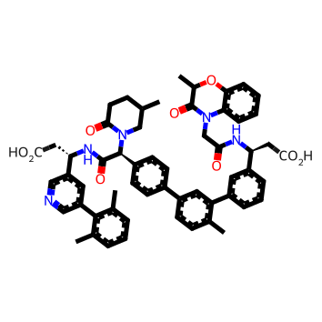 Cc1ccc(-c2ccc([C@@H](C(=O)N[C@@H](CC(=O)O)c3cncc(-c4c(C)cccc4C)c3)N3CC(C)CCC3=O)cc2)cc1-c1cccc([C@H](CC(=O)O)NC(=O)CN2C(=O)C(C)Oc3ccccc32)c1